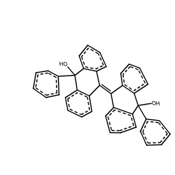 OC1(c2ccccc2)c2ccccc2C(=C2c3ccccc3C(O)(c3ccccc3)c3ccccc32)c2ccccc21